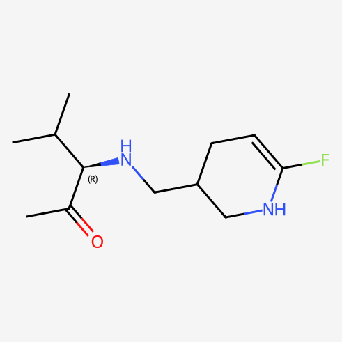 CC(=O)[C@H](NCC1CC=C(F)NC1)C(C)C